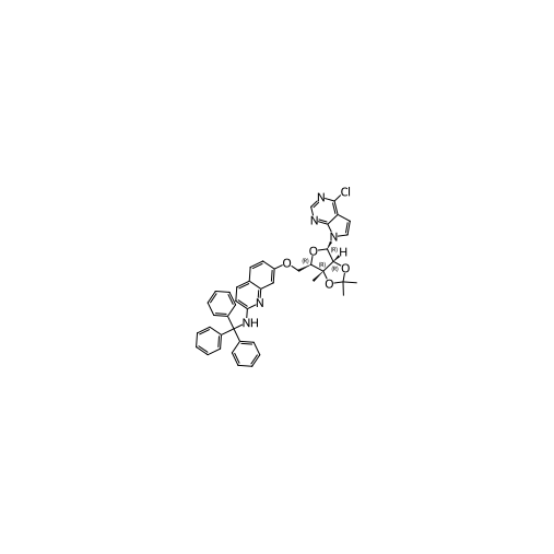 CC1(C)O[C@H]2[C@H](n3ccc4c(Cl)ncnc43)O[C@H](COc3ccc4ccc(NC(c5ccccc5)(c5ccccc5)c5ccccc5)nc4c3)[C@@]2(C)O1